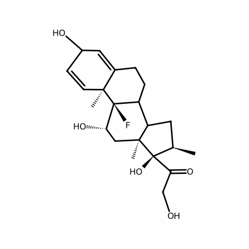 C[C@@H]1CC2C3CCC4=CC(O)C=C[C@]4(C)[C@@]3(F)[C@@H](O)C[C@]2(C)[C@@]1(O)C(=O)CO